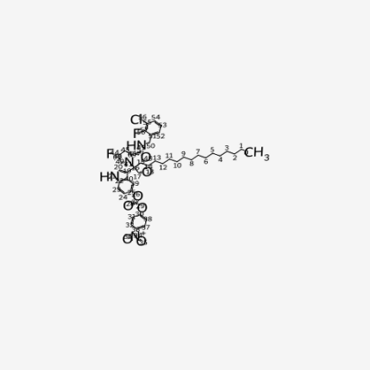 CCCCCCCCCCCCCCCCC(C=O)(c1c[nH]c2ccc(OC(=O)Oc3ccc([N+](=O)[O-])cc3)cc12)N1C[C@H](F)C[C@H]1C(=O)NCc1cccc(Cl)c1F